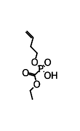 C=CCCOP(=O)(O)C(=O)OCC